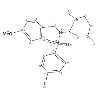 COc1ccc(CN(C2CC(C)CCC2C)S(=O)(=O)c2ccc(Cl)cc2)cc1